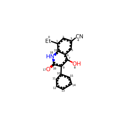 CCc1cc(C#N)cc2c(O)c(-c3ccccc3)c(=O)[nH]c12